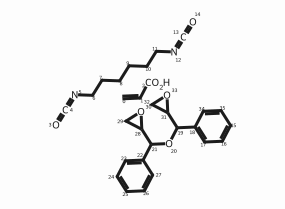 C=CC(=O)O.O=C=NCCCCCCN=C=O.c1ccc(C(OC(c2ccccc2)C2CO2)C2CO2)cc1